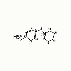 SCC1C=CC(CN2CCCCC2)=CC1